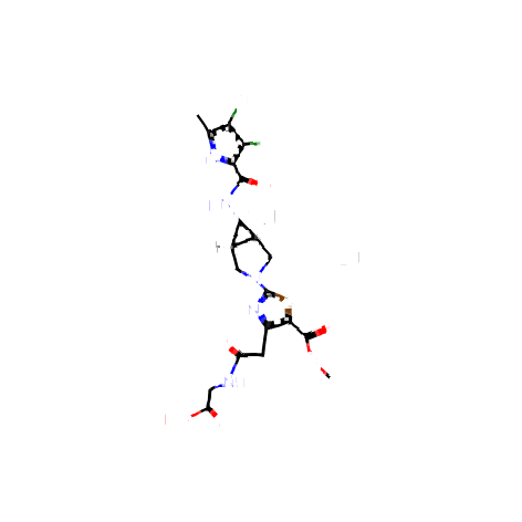 COC(=O)c1sc(N2C[C@@H]3[C@H](C2)[C@H]3NC(=O)c2[nH]c(C)c(Cl)c2Cl)nc1CC(=O)NCC(=O)O.[LiH]